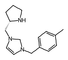 Cc1ccc(CN2C=CN(C[C@@H]3CCCN3)C2)cc1